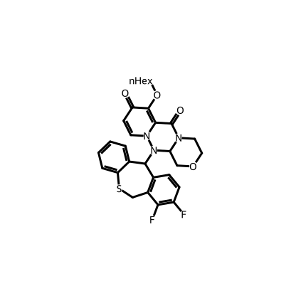 CCCCCCOc1c2n(ccc1=O)N(C1c3ccccc3SCc3c1ccc(F)c3F)C1COCCN1C2=O